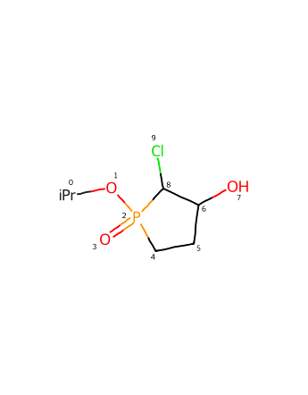 CC(C)OP1(=O)CCC(O)C1Cl